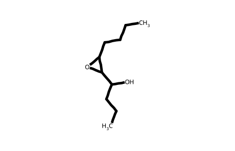 CCCCC1OC1C(O)CCC